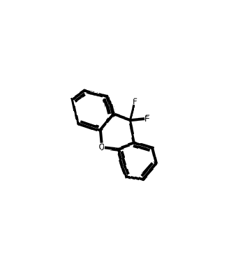 FC1(F)c2ccccc2Oc2ccccc21